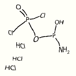 Cl.Cl.Cl.NP(O)OP(=O)(Cl)Cl